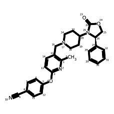 Cc1nc(Oc2ccc(C#N)cc2)ccc1CN1CCC(N2C(=O)OC[C@H]2c2ccccc2)CC1